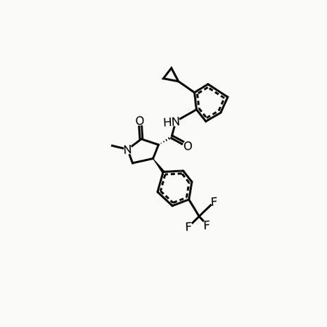 CN1C[C@H](c2ccc(C(F)(F)F)cc2)[C@@H](C(=O)Nc2ccccc2C2CC2)C1=O